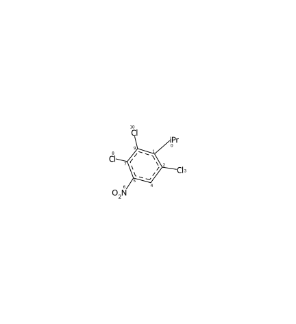 CC(C)c1c(Cl)cc([N+](=O)[O-])c(Cl)c1Cl